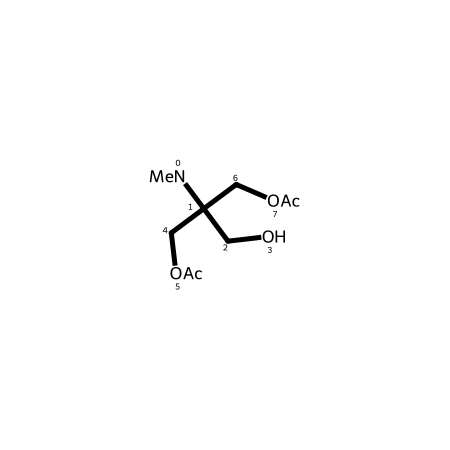 CNC(CO)(COC(C)=O)COC(C)=O